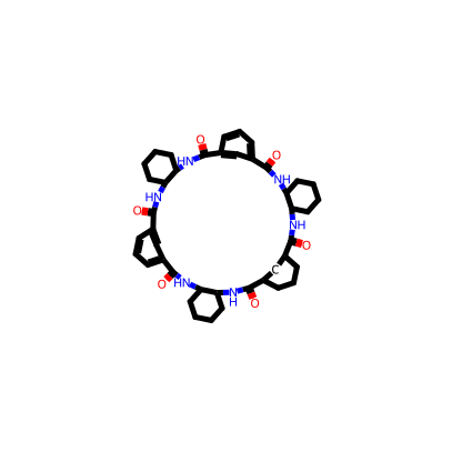 O=C1NC2CCCCC2NC(=O)c2cccc(c2)C(=O)NC2CCCCC2NC(=O)C2CCCC(C2)C(=O)NC2CCCCC2NC(=O)c2cccc1c2